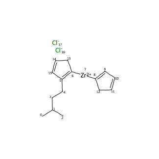 CC(C)CCC1=[C]([Zr+2][C]2=CC=CC2)CC=C1.[Cl-].[Cl-]